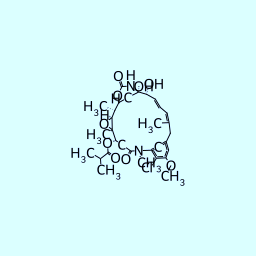 COc1cc2cc(c1Cl)N(C)C(=O)C[C@H](OC(=O)C(C)C)[C@]1(C)O[C@H]1[C@H](C)[C@@H]1C[C@@](O)(NC(=O)O1)[C@H](O)/C=C/C=C(\C)C2